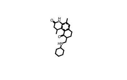 Cc1cc2c(c3c1NC(=O)CC3C)C(=O)C(CNC1CCCCC1)CC2